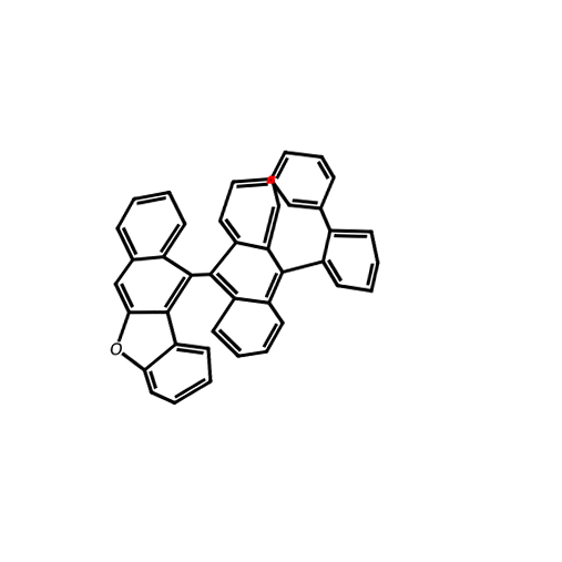 c1ccc(-c2ccccc2-c2c3ccccc3c(-c3c4ccccc4cc4oc5ccccc5c34)c3ccccc23)cc1